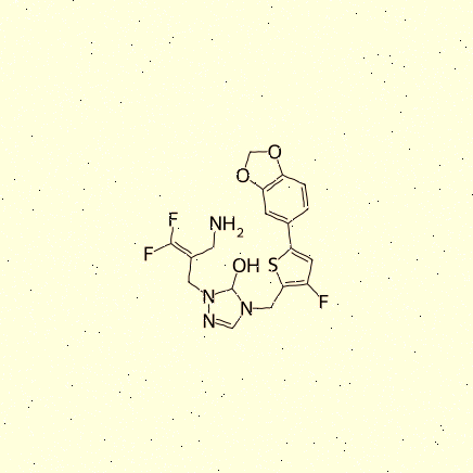 NCC(CN1N=CN(Cc2sc(-c3ccc4c(c3)OCO4)cc2F)C1O)=C(F)F